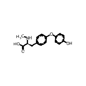 CN[C@@H](Cc1ccc(Oc2ccc(O)cc2)cc1)C(=O)O